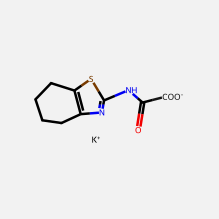 O=C([O-])C(=O)Nc1nc2c(s1)CCCC2.[K+]